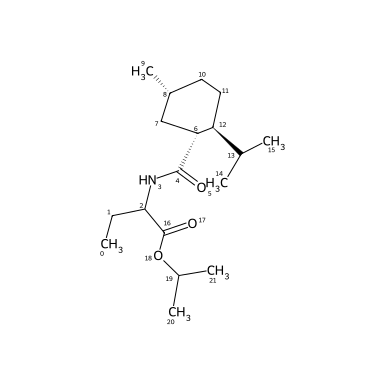 CCC(NC(=O)[C@@H]1C[C@H](C)CC[C@H]1C(C)C)C(=O)OC(C)C